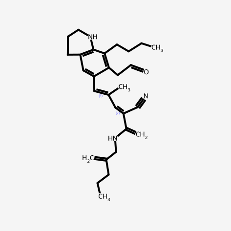 C=C(CCC)CNC(=C)/C(C#N)=C/C(C)=C/c1cc2c(c(CCCC)c1CC=O)NCCC2